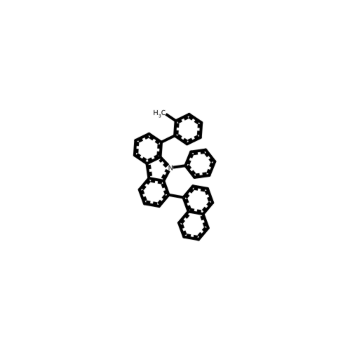 Cc1ccccc1-c1cccc2c3cccc(-c4cccc5ccccc45)c3n(-c3ccccc3)c12